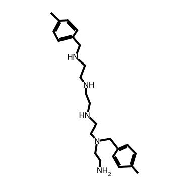 Cc1ccc(CNCCNCCNCCN(CCN)Cc2ccc(C)cc2)cc1